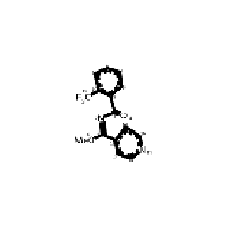 COC(=NC(=O)c1ccccc1C(F)(F)F)c1ccncc1